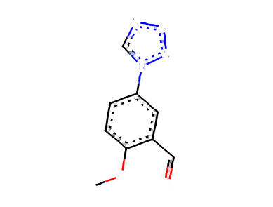 COc1ccc(-n2cnnn2)cc1[C]=O